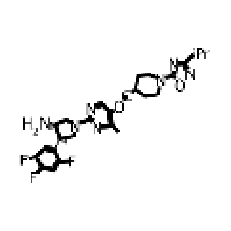 Cc1nc(N2C[C@H](C3=CC(F)C(F)C=C3F)[C@@H](N)C2)ncc1OCC1CCN(c2nc(C(C)C)no2)CC1